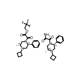 C[C@@H]1CN(C(=O)C(=O)OCC(F)(F)F)[C@@H](c2ccccc2)CN1C1CCC1.C[C@@H]1CN(C(=O)C(N)=O)[C@@H](c2ccccc2)CN1C1CCC1